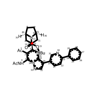 CC(=O)Nc1c(C(C)=O)c([C@H]2C[C@H]3CC[C@@H](C2)N3C(=O)OC(C)(C)C)nc2c(-c3ccc(-c4ccccc4)nc3)cnn12